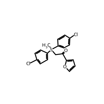 CS(CC(=O)c1ccco1)(c1ccc(Cl)cc1)c1ccc(Cl)cc1